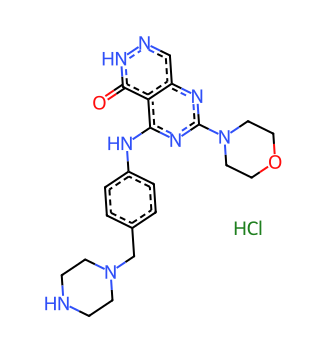 Cl.O=c1[nH]ncc2nc(N3CCOCC3)nc(Nc3ccc(CN4CCNCC4)cc3)c12